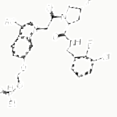 CC[PH](=O)OCOc1ccc2c(C(C)=O)cn(CC(=O)N3C[C@H](F)C[C@H]3C(=O)NCc3cccc(Cl)c3F)c2c1